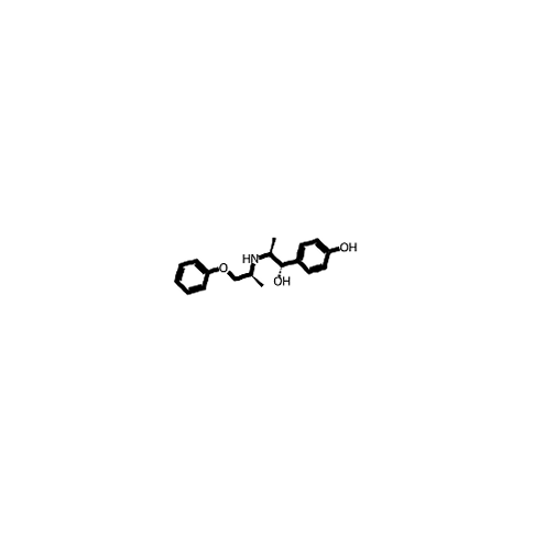 C[C@H](N[C@@H](C)COc1ccccc1)[C@@H](O)c1ccc(O)cc1